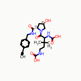 C#Cc1ccc(CNC(=O)[C@@H]2C[C@@H](O)CN2C(=O)C(NC(=O)O)C(C)(C)CCNC(=O)O)cc1